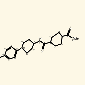 COC(=O)C1CCC(C(=O)NC2CCN(c3ccc(C#N)cc3)CC2)CC1